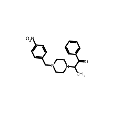 CC(C(=O)c1ccccc1)N1CCN(Cc2ccc([N+](=O)[O-])cc2)CC1